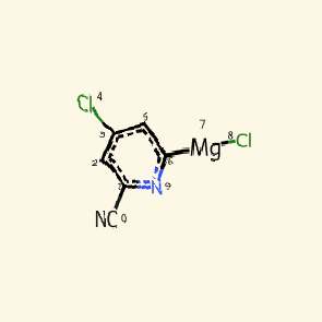 N#Cc1cc(Cl)c[c]([Mg][Cl])n1